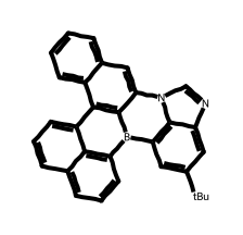 CC(C)(C)c1cc2c3c(c1)ncn3-c1cc3ccccc3c3c1B2c1cccc2cccc-3c12